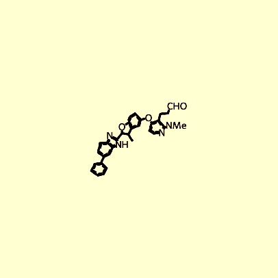 CNc1nccc(Oc2ccc3c(c2)C(C)C(c2nc4ccc(-c5ccccc5)cc4[nH]2)O3)c1CCC=O